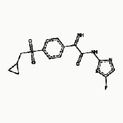 N=C(C(=O)Nc1ncc(F)s1)c1ccc(S(=O)(=O)CC2CC2)cc1